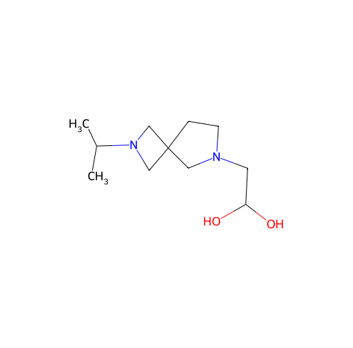 CC(C)N1CC2(CCN(CC(O)O)C2)C1